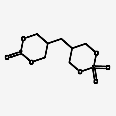 O=S1OCC(CC2COS(=O)(=O)OC2)CO1